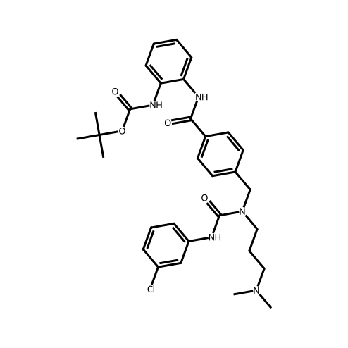 CN(C)CCCN(Cc1ccc(C(=O)Nc2ccccc2NC(=O)OC(C)(C)C)cc1)C(=O)Nc1cccc(Cl)c1